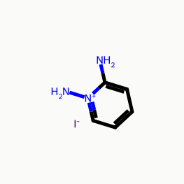 Nc1cccc[n+]1N.[I-]